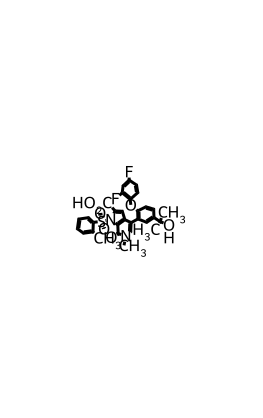 Cc1ccccc1S(=O)(=O)n1c(C(=O)O)cc2c(-c3cc(C(C)(C)O)ccc3Oc3ccc(F)cc3F)cn(C)c(=O)c21